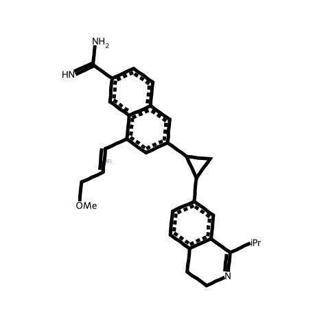 COC/C=C/c1cc(C2CC2c2ccc3c(c2)C(C(C)C)=NCC3)cc2ccc(C(=N)N)cc12